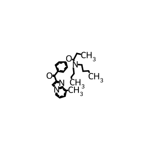 CCCCN(CCCC)C(CC)Oc1ccc(C(=O)c2cn3cccc(C)c3n2)cc1